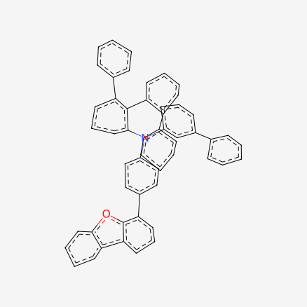 c1ccc(-c2cccc(N(c3ccc(-c4cccc5c4oc4ccccc45)cc3)c3cccc(-c4ccccc4)c3-c3ccccc3-c3ccccc3)c2)cc1